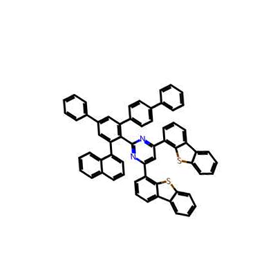 c1ccc(-c2ccc(-c3cc(-c4ccccc4)cc(-c4cccc5ccccc45)c3-c3nc(-c4cccc5c4sc4ccccc45)cc(-c4cccc5c4sc4ccccc45)n3)cc2)cc1